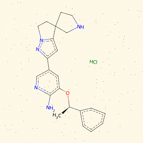 C[C@@H](Oc1cc(-c2cc3n(n2)CCC32CCNC2)cnc1N)c1ccccc1.Cl